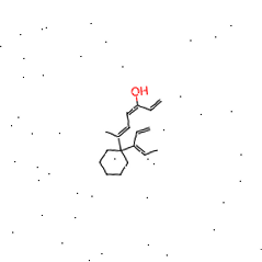 C=C/C(O)=C\C=C(/C)C1(/C(C=C)=C/C)CCCCC1